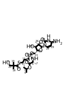 CC(C)OC(=O)[C@@H](C)N[P@](=O)(OCCSC(=O)C(C)(C)CO)OC[C@H]1O[C@@H](N2C=CC(N)NC2=O)[C@](C)(Cl)[C@@H]1O